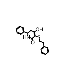 O=C1NC(c2ccccc2)CC(O)=C1SCCc1ccccc1